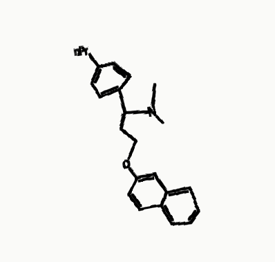 CCCc1ccc(C(CCOc2ccc3ccccc3c2)N(C)C)cc1